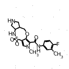 Cc1cc(NC(=O)c2c3c(cn2C)S(=O)(=O)NC2CNCC2CO3)ccc1F